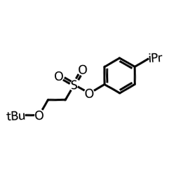 CC(C)c1ccc(OS(=O)(=O)CCOC(C)(C)C)cc1